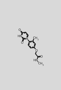 CNC(=O)COc1ccc(-n2ccc(=O)[nH]c2=O)c(C)c1